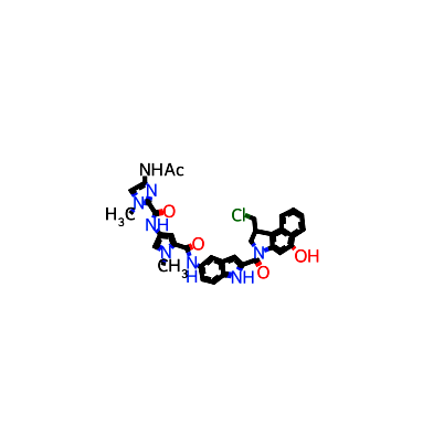 CC(=O)Nc1cn(C)c(C(=O)Nc2cc(C(=O)Nc3ccc4[nH]c(C(=O)N5CC(CCl)c6c5cc(O)c5ccccc65)cc4c3)n(C)c2)n1